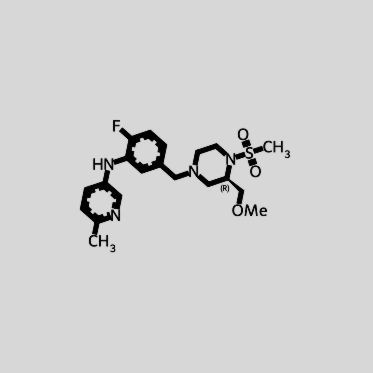 COC[C@H]1CN(Cc2ccc(F)c(Nc3ccc(C)nc3)c2)CCN1S(C)(=O)=O